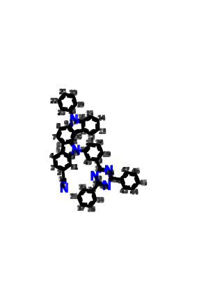 N#Cc1ccc2c3ccc4c(c5ccccc5n4-c4ccccc4)c3n(-c3cccc(-c4nc(-c5ccccc5)nc(-c5ccccc5)n4)c3)c2c1